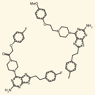 COc1ccc(OCCN2CCN(c3nc(N)nc4sc(CCc5ccc(F)cc5)nc34)CC2)cc1.Nc1nc(N2CCN(C(=O)COc3ccc(F)cc3)CC2)c2nc(CCc3ccc(F)cc3)sc2n1